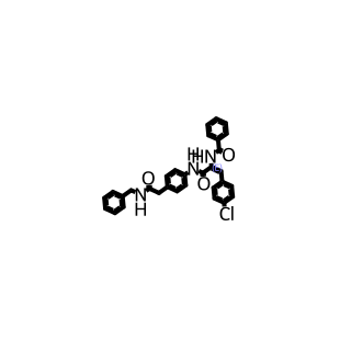 O=C(Cc1ccc(NC(=O)/C(=C\c2ccc(Cl)cc2)NC(=O)c2ccccc2)cc1)NCc1ccccc1